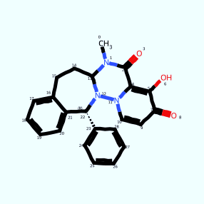 CN1C(=O)c2c(O)c(=O)ccn2N2C1CCc1ccccc1[C@H]2c1ccccc1